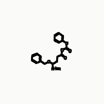 CCCCCCC(CCC(=O)OC(=O)Oc1ccccc1)OCc1ccccc1